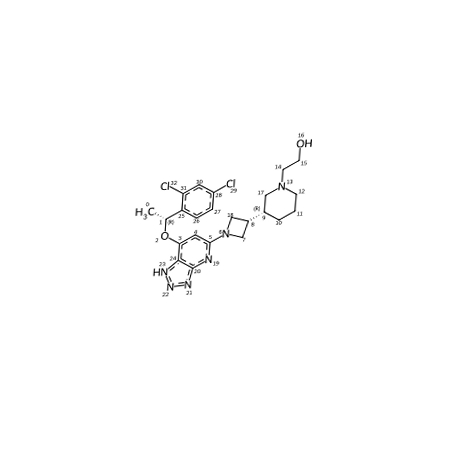 C[C@@H](Oc1cc(N2CC([C@H]3CCCN(CCO)C3)C2)nc2nn[nH]c12)c1ccc(Cl)cc1Cl